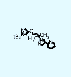 CC(C)(C)n1cc(OCCC(C)(C)n2cc(-c3ccccn3)cn2)cn1